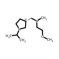 COCCN(C)C[C@H]1CCN(C(C)C)C1